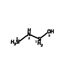 O[SiH2]N[SiH3]